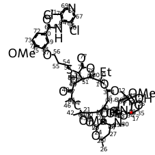 CC[C@H]1OC(=O)[C@H](C)[C@@H](O[C@H]2C[C@@](C)(OC)[C@@H](O)[C@H](C)O2)[C@H](C)[C@@H](O[C@@H]2O[C@H](C)C[C@H](N(C)C(=O)N3CCOCC3)[C@H]2O)[C@](C)(OC)C[C@@H](C)C(=O)[C@H](C)[C@H]2C(SCCCOc3cc(C(=O)Nc4c(Cl)cncc4Cl)ccc3OC)C(=O)O[C@@]21C